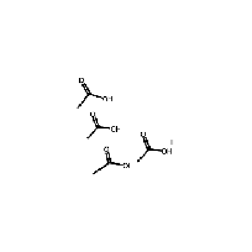 CC(=O)O.CC(=O)O.CC(=O)O.CC(=O)O.[Ti]